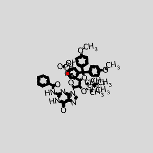 COc1ccc(C(OC2C(O[Si](C)(C)C(C)(C)C)[C@H](n3cnc4c(=O)[nH]c(NC(=O)c5ccccc5)nc43)O[C@@H]2CO[PH](=O)O)(c2ccccc2)c2ccc(OC)cc2)cc1